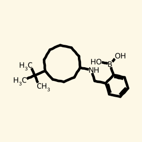 CC(C)(C)C1CCCCCC(NCc2ccccc2B(O)O)CCC1